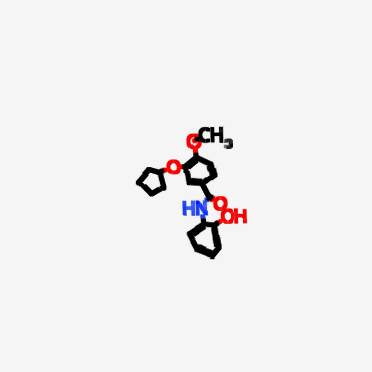 COc1ccc(C(=O)Nc2ccccc2O)cc1OC1CCCC1